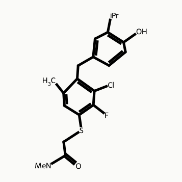 CNC(=O)CSc1cc(C)c(Cc2ccc(O)c(C(C)C)c2)c(Cl)c1F